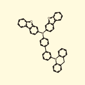 c1cc(-c2ccc(N(c3ccc4c(c3)oc3ccccc34)c3ccc4c(c3)oc3ccccc34)cc2)cc(N2c3ccccc3Cc3ccccc32)c1